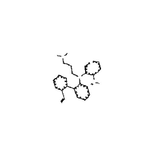 CN(C)CCCN(c1ccccc1-c1ccccc1C=O)c1cnccc1[N+](=O)[O-]